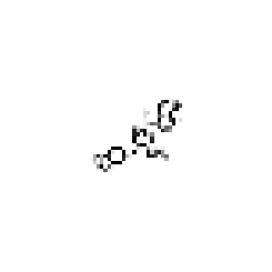 Cc1ccc(Nc2ncc(Cc3ccc4[nH]ccc4c3)c(N)n2)c2cc[nH]c12